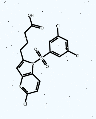 O=C(O)CCCc1cc2nc(Cl)ccc2n1S(=O)(=O)c1cc(Cl)cc(Cl)c1